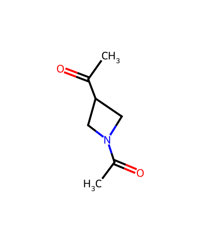 CC(=O)C1CN(C(C)=O)C1